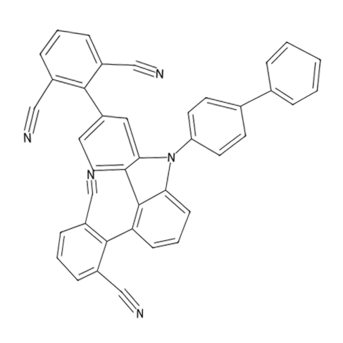 N#Cc1cccc(C#N)c1-c1ccc2c3c(-c4c(C#N)cccc4C#N)cccc3n(-c3ccc(-c4ccccc4)cc3)c2c1